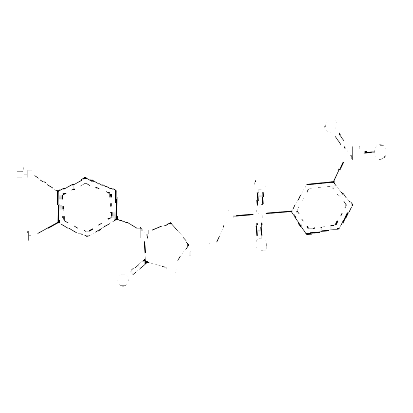 O=C1O[C@@H](COS(=O)(=O)c2cccc([N+](=O)[O-])c2)CN1c1ccc(Br)c(F)c1